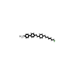 Cc1ccc(-c2ccc(CCC3CCC(CCC/C=C/CCF)CC3)cc2)cc1